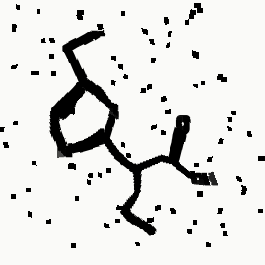 [CH2]Cc1cnc(C(CC)C(=O)O)s1